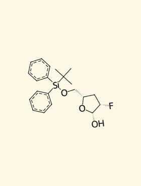 CC(C)(C)[Si](OC[C@@H]1C[C@H](F)[C@H](O)O1)(c1ccccc1)c1ccccc1